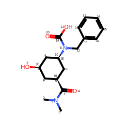 CN(C)C(=O)[C@H]1C[C@@H](O)C[C@@H](N(Cc2ccccc2)C(=O)O)C1